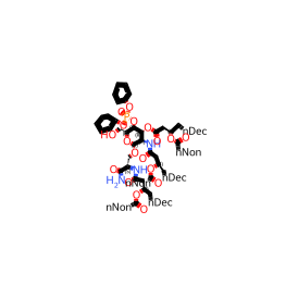 CCCCCCCCCCC[C@H](CC(=O)N[C@H]1[C@H](OC[C@H](NC(=O)C[C@@H](CCCCCCCCCCC)OC(=O)CCCCCCCCC)C(N)=O)O[C@H](CO)[C@@H](OP(=O)(Oc2ccccc2)Oc2ccccc2)[C@@H]1OC(=O)C[C@@H](CCCCCCCCCCC)OC(=O)CCCCCCCCC)OC(=O)CCCCCCCCC